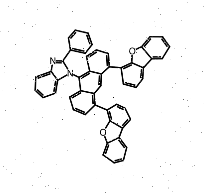 c1ccc(-c2nc3ccccc3n2-c2c3cccc(-c4cccc5c4oc4ccccc45)c3cc3c(-c4cccc5c4oc4ccccc45)cccc23)cc1